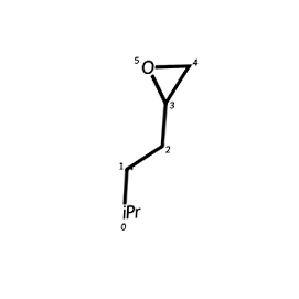 CC(C)[CH]CC1CO1